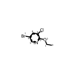 CCOc1ncc(Br)cc1Cl